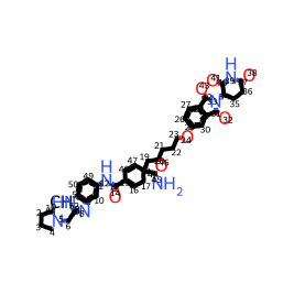 C[C@H]1CCCN1Cc1nc2cc(NC(=O)C3=CCC(CCCCCOc4ccc5c(c4)C(=O)N(C4CCC(=O)NC4=O)C5=O)(C(N)=O)C=C3)ccc2[nH]1